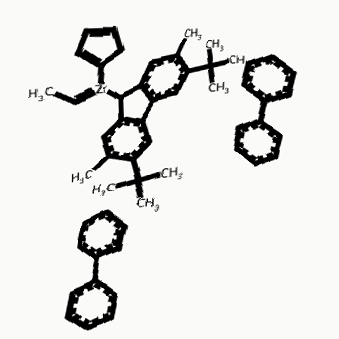 C[CH]=[Zr]([C]1=CC=CC1)[CH]1c2cc(C)c(C(C)(C)C)cc2-c2cc(C(C)(C)C)c(C)cc21.c1ccc(-c2ccccc2)cc1.c1ccc(-c2ccccc2)cc1